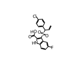 C=CC(c1ccc(Cl)cc1)S(=O)(=O)c1c(C(=O)O)[nH]c2ccc(F)cc12